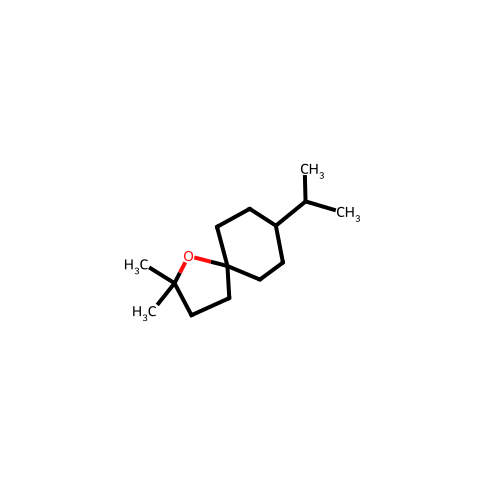 CC(C)C1CCC2(CC1)CCC(C)(C)O2